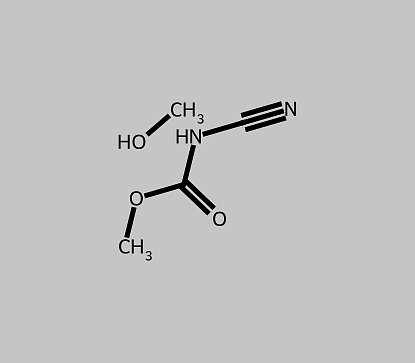 CO.COC(=O)NC#N